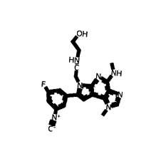 [C-]#[N+]c1cc(F)cc(-c2cc3c4c(ncn4C)c(NC)nc3n2CCNCCO)c1